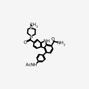 CC(=O)Nc1ccc(-c2ccc(C(N)=O)c3[nH]c4cc(C(=O)N5CCN(C)CC5)ccc4c23)cc1